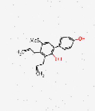 C=CCc1c(SC)cc(-c2ccc(O)cc2)c(O)c1CC=C